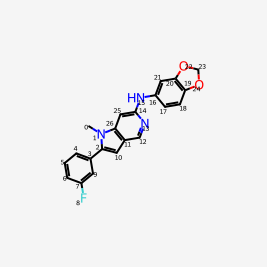 Cn1c(-c2cccc(F)c2)cc2cnc(Nc3ccc4c(c3)OCO4)cc21